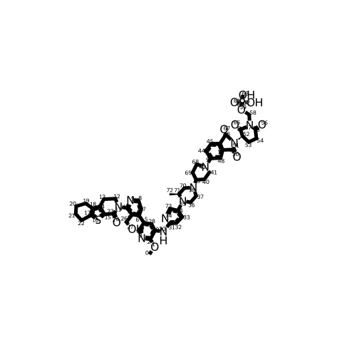 COc1ncc(-c2ccnc(N3CCc4c(sc5c4CCCC5)C3=O)c2CO)cc1Nc1ccc(N2CCN(C3CCN(c4ccc5c(c4)C(=O)N([C@H]4CCC(=O)N(COP(=O)(O)O)C4=O)C5=O)CC3)C[C@@H]2C)cn1